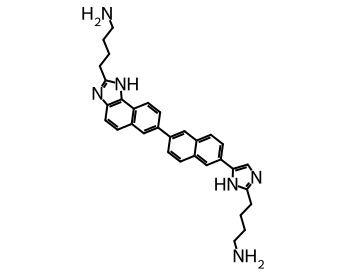 NCCCCc1ncc(-c2ccc3cc(-c4ccc5c(ccc6nc(CCCCN)[nH]c65)c4)ccc3c2)[nH]1